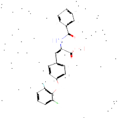 O=C(O)/C(=C\c1ccc(Oc2c(F)cccc2Cl)cc1)NC(=O)c1ccccc1